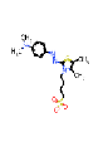 Cc1sc(/N=N/c2ccc(N(C)C)cc2)[n+](CCCCS(=O)(=O)[O-])c1C